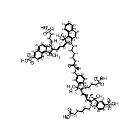 CC1(C)C(/C=C/C=C2/N(CCCCCC(=O)O)c3ccc(S(=O)(=O)O)cc3C2(C)C)=[N+](CCCS(=O)(=O)O)c2ccc(CNC(=O)CCCCCN3/C(=C/C=C/C4=[N+](CCCS(=O)(=O)O)c5ccc6cc(S(=O)(=O)O)ccc6c5C4(C)C)C(C)(C)c4c3ccc3ccccc43)cc21